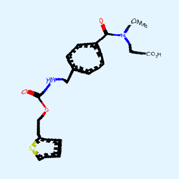 CON(CC(=O)O)C(=O)c1ccc(CNC(=O)OCc2cccs2)cc1